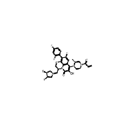 C=CC(=O)N1CCN(c2c(C#N)c(=O)n3c4c(c(-c5ccc(F)cc5F)c(Cl)cc24)OCC3CN2CC(F)C(F)C2)[C@@H](C)C1